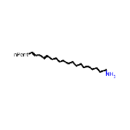 CCCCCC=CCC=CCCCCCCCCCCCCCCN